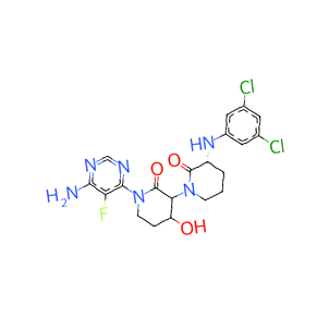 Nc1ncnc(N2CCC(O)C(N3CCC[C@@H](Nc4cc(Cl)cc(Cl)c4)C3=O)C2=O)c1F